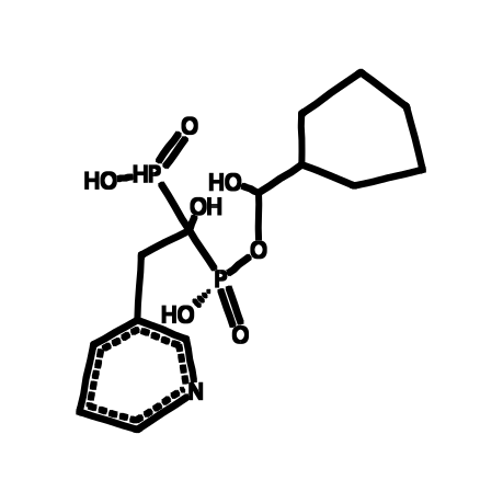 O=[PH](O)C(O)(Cc1cccnc1)[P@@](=O)(O)OC(O)C1CCCCC1